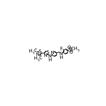 Cc1nc(C)c(-c2csc(Nc3ccc(CNc4ccc(S(C)(=O)=O)cc4F)cn3)n2)s1